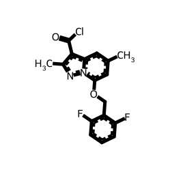 Cc1cc(OCc2c(F)cccc2F)n2nc(C)c(C(=O)Cl)c2c1